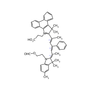 CC(/C=C(/C=C(\C)C1=[N+](CCC(=O)O)c2c(c3ccccc3c3ccccc23)C1(C)C)c1ccccc1)=C1/N(CCOC=O)c2ccc(C)cc2C1(C)C